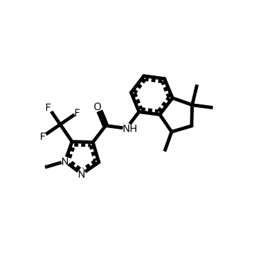 CC1CC(C)(C)c2cccc(NC(=O)c3cnn(C)c3C(F)(F)F)c21